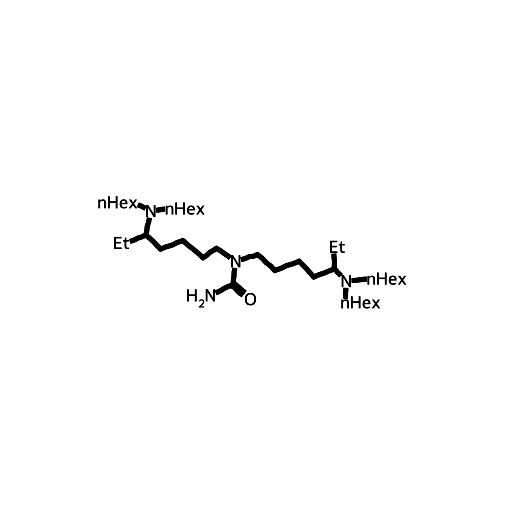 CCCCCCN(CCCCCC)C(CC)CCCCN(CCCCC(CC)N(CCCCCC)CCCCCC)C(N)=O